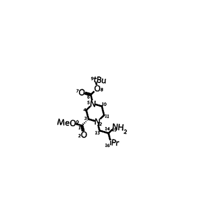 COC(=O)[C@@H]1CN(C(=O)OC(C)(C)C)CCN1CC(N)C(C)C